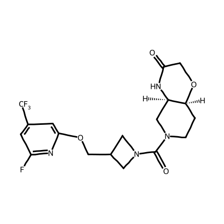 O=C1CO[C@H]2CCN(C(=O)N3CC(COc4cc(C(F)(F)F)cc(F)n4)C3)C[C@H]2N1